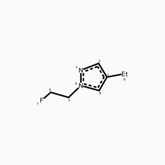 CCc1cnn(CCF)c1